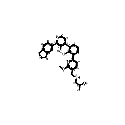 COc1nc(-c2cccc(-c3ccnc(-c4ccc5c(c4)CNC5)c3Cl)c2Cl)ccc1CNCC(C)O